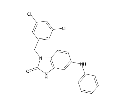 O=c1[nH]c2cc(Nc3ccccc3)ccc2n1Cc1cc(Cl)cc(Cl)c1